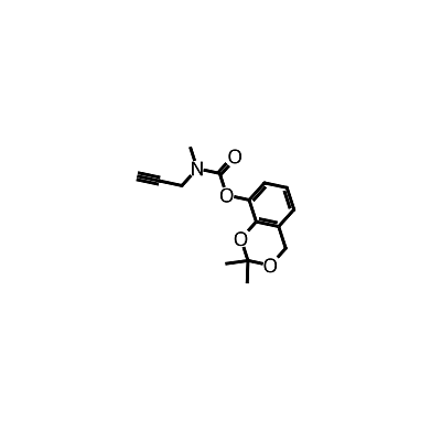 C#CCN(C)C(=O)Oc1cccc2c1OC(C)(C)OC2